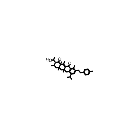 CC1=C2C(=O)c3c(C)c(CCc4ccc(C)cc4)cc(C(C)C)c3CC2(C)CC2(C)CC(C)C(C(C)O)C(=O)C12C